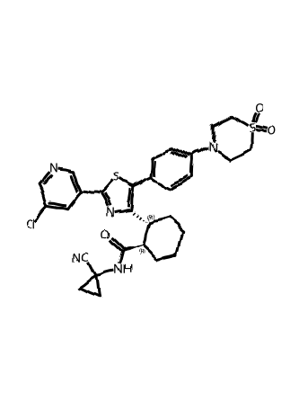 N#CC1(NC(=O)[C@@H]2CCCC[C@H]2c2nc(-c3cncc(Cl)c3)sc2-c2ccc(N3CCS(=O)(=O)CC3)cc2)CC1